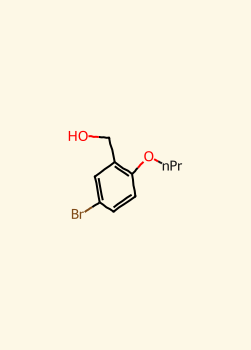 CCCOc1ccc(Br)cc1CO